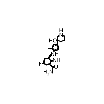 N=C1C(C(N)=O)=CC(F)=C/C1=C/Nc1ccc(C2(O)CCCNC2)cc1F